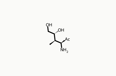 CC(=O)[C@@H](N)[C@@H](C)[C@@H](O)CO